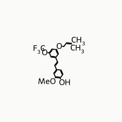 COc1cc(C=Cc2cc(OCC=C(C)C)cc(OC(F)(F)F)c2)ccc1O